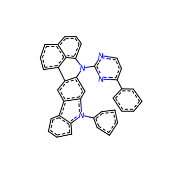 c1ccc(-c2ccnc(N3c4cc5c(cc4-c4cccc6cccc3c46)c3ccccc3n5-c3ccccc3)n2)cc1